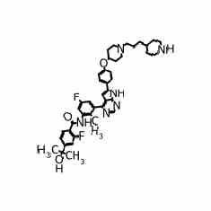 Cc1c(NC(=O)c2ccc(C(C)(C)O)cc2F)cc(F)cc1-c1ncnc2[nH]c(-c3ccc(OC4CCN(CCCC5CCNCC5)CC4)cc3)cc12